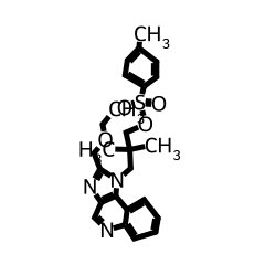 CCOCc1nc2cnc3ccccc3c2n1CC(C)(C)COS(=O)(=O)c1ccc(C)cc1